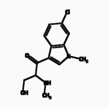 CNC(CO)C(=O)c1cn(C)c2cc(Cl)ccc12